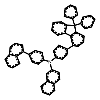 c1ccc(C2(c3ccccc3)c3ccccc3-c3c(-c4ccc(N(c5ccc(-c6cccc7ccccc67)cc5)c5ccc6ccccc6c5)cc4)cccc32)cc1